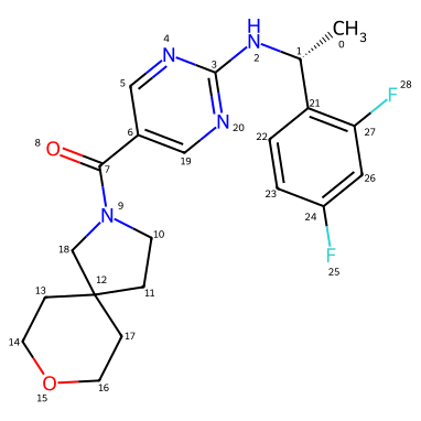 C[C@@H](Nc1ncc(C(=O)N2CCC3(CCOCC3)C2)cn1)c1ccc(F)cc1F